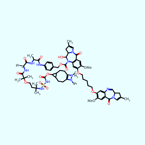 COc1cc2c(cc1OCCCCCOc1cc3c(cc1OC)C(=O)N1C=C(C)CC1C(O)N3C(=O)OCc1ccc(NC(=O)C(C)NC(=O)[C@@H](NC(=O)C(C)(C)OCCC(C)(C)NS(=O)(=O)NC(=O)OC3C4CCc5c(n(C(C)C)n5C)CCC43)C(C)C)cc1)N=CC1CC(C)=CN1C2=O